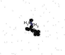 C/C(=C\C=C(/C)c1ccc(N(c2ccc3c(c2)Oc2ccc4c(c2O3)-c2ccccc2C4(c2ccccc2)c2ccccc2)c2ccc3ccccc3c2)cc1)c1ccccc1